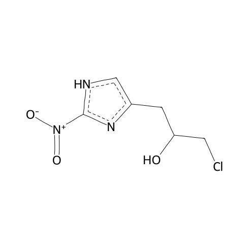 O=[N+]([O-])c1nc(CC(O)CCl)c[nH]1